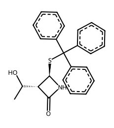 CC(O)[C@H]1C(=O)N[C@@H]1SC(c1ccccc1)(c1ccccc1)c1ccccc1